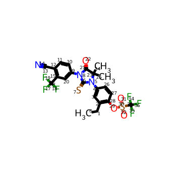 CCc1cc(N2C(=S)N(c3ccc(C#N)c(C(F)(F)F)c3)C(=O)C2(C)C)ccc1OS(=O)(=O)C(F)(F)F